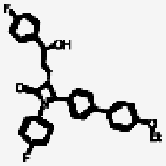 CCOc1ccc(-c2ccc([C@@H]3[C@@H](CC[C@H](O)c4ccc(F)cc4)C(=O)N3c3ccc(F)cc3)cc2)cc1